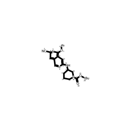 CC(C)Oc1nc(C#N)cc2cnc(NC3CCCN(C(=O)OC(C)(C)C)C3)cc12